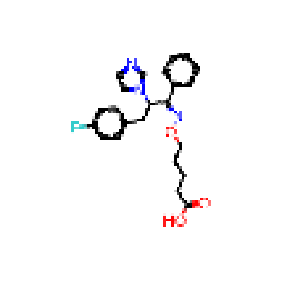 O=C(O)CCCCON=C(c1ccccc1)C(Cc1ccc(F)cc1)n1ccnc1